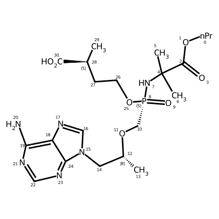 CCCOC(=O)C(C)(C)N[P@](=O)(CO[C@H](C)Cn1cnc2c(N)ncnc21)OCC[C@H](C)C(=O)O